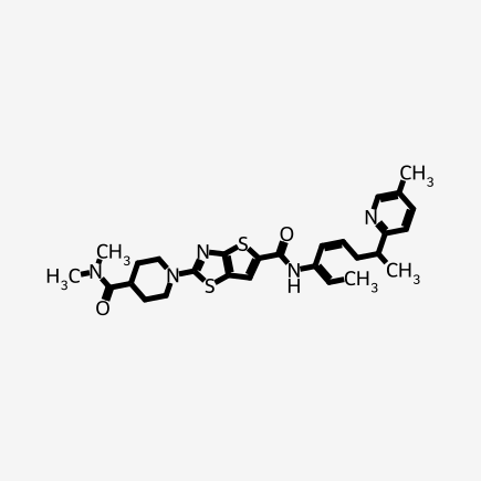 C/C=C(\C=C/CC(C)c1ccc(C)cn1)NC(=O)c1cc2sc(N3CCC(C(=O)N(C)C)CC3)nc2s1